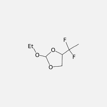 CCOC1OCC(C(C)(F)F)O1